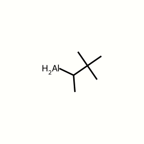 C[CH]([AlH2])C(C)(C)C